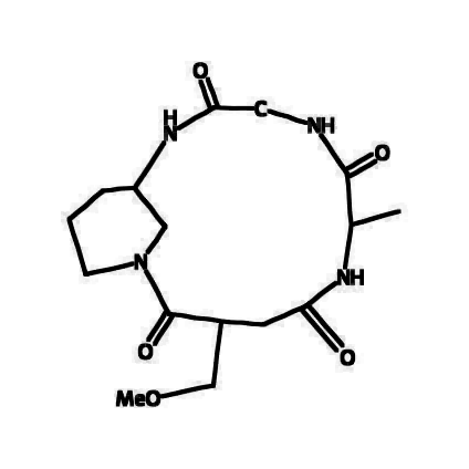 COCC1CC(=O)NC(C)C(=O)NCC(=O)NC2CCCN(C2)C1=O